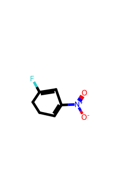 O=[N+]([O-])C1=CCCC(F)=C1